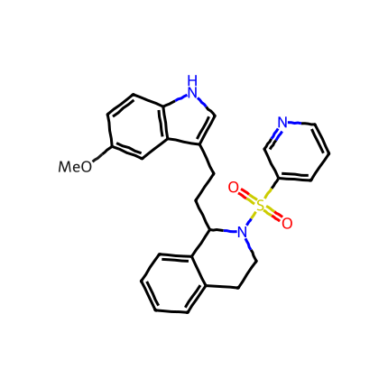 COc1ccc2[nH]cc(CCC3c4ccccc4CCN3S(=O)(=O)c3cccnc3)c2c1